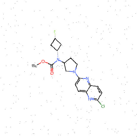 CC(C)(C)OC(=O)N(C1CCN(c2ccc3nc(Cl)ccc3n2)C1)[C@H]1C[C@@H](F)C1